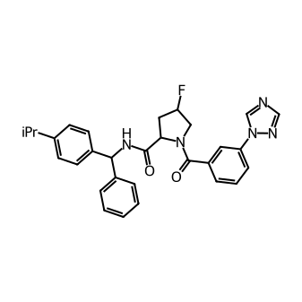 CC(C)c1ccc(C(NC(=O)C2CC(F)CN2C(=O)c2cccc(-n3cncn3)c2)c2ccccc2)cc1